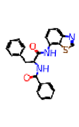 O=C(NC(Cc1ccccc1)C(=O)Nc1cccc2ncsc12)c1ccccc1